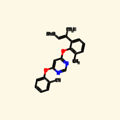 COC=C(C(=O)O)c1cccc(C)c1Oc1cc(Oc2ccccc2C#N)ncn1